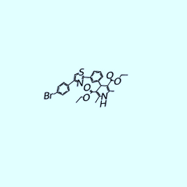 CCOC(=O)C1=C(C)NC(C)=C(C(=O)OCC)C1c1cccc(-c2nc(-c3ccc(Br)cc3)cs2)c1